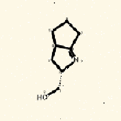 OC[C@@H]1CC2CCCC2=N1